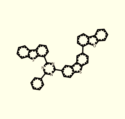 c1ccc(-c2nc(-c3ccc4sc5ccc(-c6cccc7c6oc6ccccc67)cc5c4c3)nc(-c3cccc4c3sc3ccccc34)n2)cc1